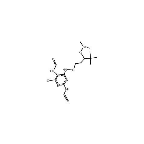 C[SiH](C)OC(CCONc1nc(NC=O)nc(Cl)c1NC=O)C(C)(C)C